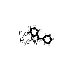 Cn1nc(-c2ccccc2)c2cccc(C(F)(F)F)c21